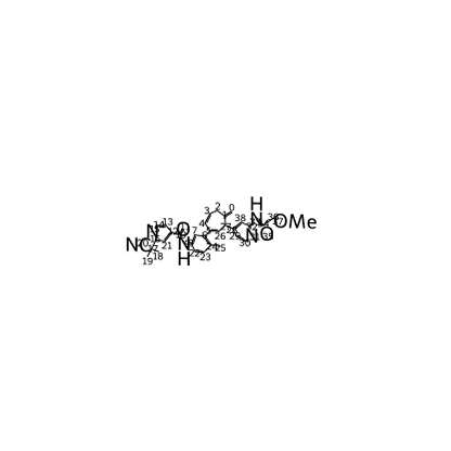 C=C1CC=CC(c2cc(NC(=O)c3ccnc(C(C)(C)C#N)c3)ccc2C)=CC1c1ccnc(NC(=O)COC)c1